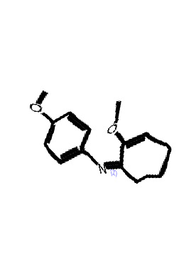 COC1=CCCC/C1=N/c1ccc(OC)cc1